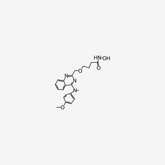 COc1ccc(N(C)c2nc(COCCCC(=O)NO)nc3ccccc23)cc1